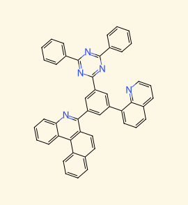 c1ccc(-c2nc(-c3ccccc3)nc(-c3cc(-c4nc5ccccc5c5c4ccc4ccccc45)cc(-c4cccc5cccnc45)c3)n2)cc1